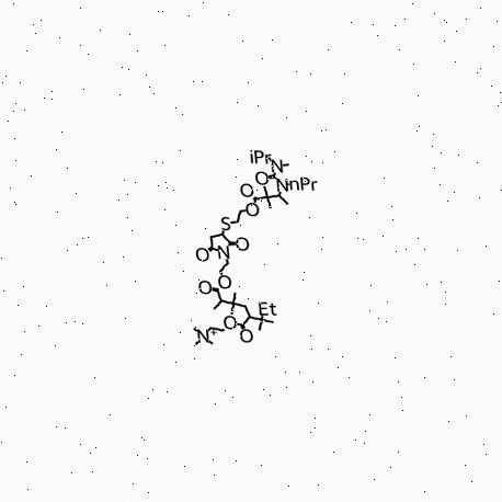 CCCN(C(=O)N(C)C(C)C)C(C)C(C)(C)C(=O)OCCSC1CC(=O)N(CCOC(=O)C(C)C(C)(C)CC(C(=O)OCC[N+](C)(C)C)C(C)(C)CC)C1=O